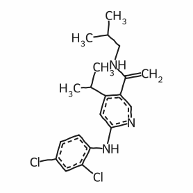 C=C(NCC(C)C)c1cnc(Nc2ccc(Cl)cc2Cl)cc1C(C)C